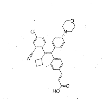 N#Cc1cc(Cl)ccc1C(=C(c1ccc(C=CC(=O)O)cc1)c1ccc(N2CCOCC2)cc1)C1CCC1